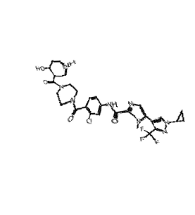 Cn1c(-c2cn(C3CC3)nc2C(F)(F)F)cnc1C(=O)Nc1ccc(C(=O)N2CCN(C(=O)C3CNCCC3O)CC2)c(Cl)c1